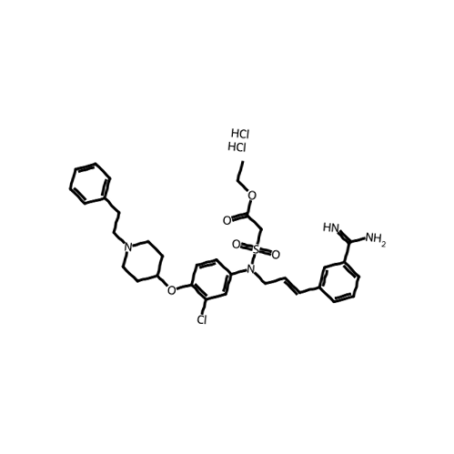 CCOC(=O)CS(=O)(=O)N(C/C=C/c1cccc(C(=N)N)c1)c1ccc(OC2CCN(CCc3ccccc3)CC2)c(Cl)c1.Cl.Cl